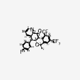 C[C@@H](O[C@H]1CC(=O)c2ncccc2[C@@H]1c1ccc(F)cc1)c1cc(C(F)(F)F)cc(C(F)(F)F)c1